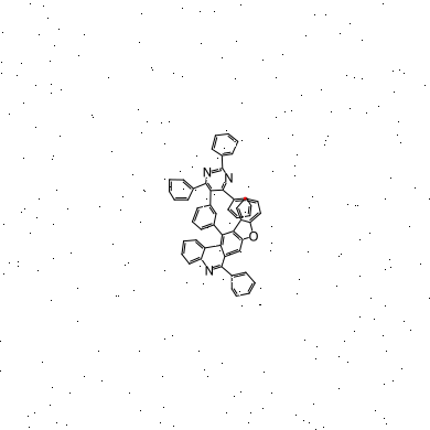 c1ccc(-c2nc(-c3ccccc3)c(-c3cccc(-c4c5c(cc6c(-c7ccccc7)nc7ccccc7c46)oc4ccccc45)c3)c(-c3ccccc3)n2)cc1